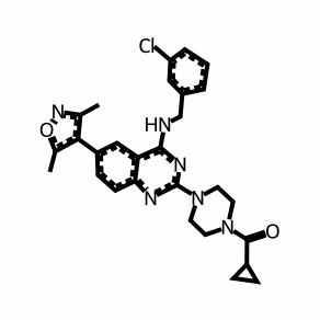 Cc1noc(C)c1-c1ccc2nc(N3CCN(C(=O)C4CC4)CC3)nc(NCc3cccc(Cl)c3)c2c1